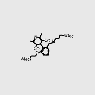 CCCCCCCCCCCCCCCc1cccc(OCCOC)c1C1C(C(=O)O)=C(C)N=C(C)C1C(=O)O